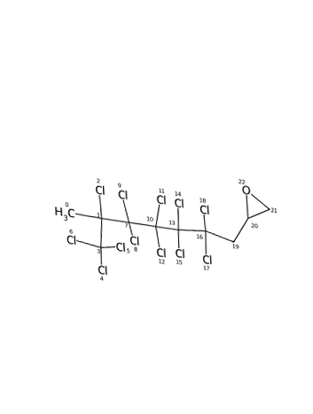 CC(Cl)(C(Cl)(Cl)Cl)C(Cl)(Cl)C(Cl)(Cl)C(Cl)(Cl)C(Cl)(Cl)CC1CO1